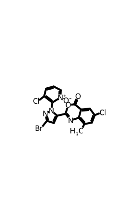 Cc1cc(Cl)cc2c(=O)oc(-c3cc(Br)nn3-c3c(Cl)ccc[n+]3[O-])nc12